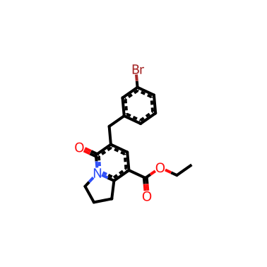 CCOC(=O)c1cc(Cc2cccc(Br)c2)c(=O)n2c1CCC2